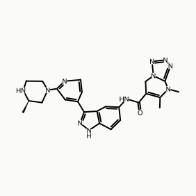 CC1=C(C(=O)Nc2ccc3[nH]nc(-c4ccnc(N5CCN[C@H](C)C5)c4)c3c2)Cn2nnnc2N1C